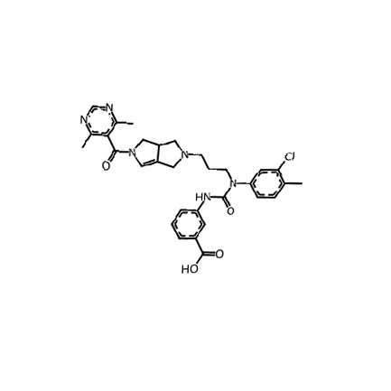 Cc1ccc(N(CCCN2CC3=CN(C(=O)c4c(C)ncnc4C)CC3C2)C(=O)Nc2cccc(C(=O)O)c2)cc1Cl